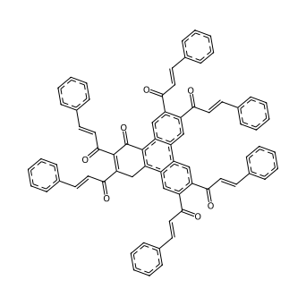 O=C(C=Cc1ccccc1)C1=C(C(=O)C=Cc2ccccc2)C(=O)c2c(c3cc(C(=O)C=Cc4ccccc4)c(C(=O)C=Cc4ccccc4)cc3c3cc(C(=O)C=Cc4ccccc4)c(C(=O)C=Cc4ccccc4)cc23)C1